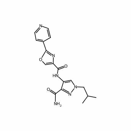 CC(C)Cn1cc(NC(=O)c2coc(-c3ccncc3)n2)c(C(N)=O)n1